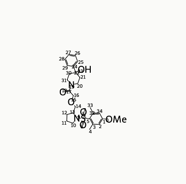 COc1cc(C)c(S(=O)(=O)N2CCCC2COCC(=O)N2CCC(O)(c3ccccc3)CC2)c(C)c1